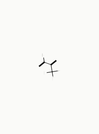 [CH]=C(C(=C)F)C(F)(F)F